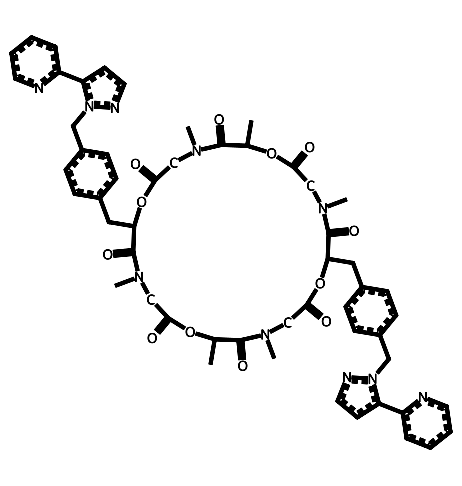 CC1OC(=O)CN(C)C(=O)C(Cc2ccc(Cn3nccc3-c3ccccn3)cc2)OC(=O)CN(C)C(=O)C(C)OC(=O)CN(C)C(=O)C(Cc2ccc(Cn3nccc3-c3ccccn3)cc2)OC(=O)CN(C)C1=O